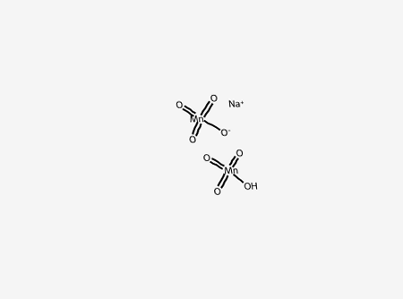 [Na+].[O]=[Mn](=[O])(=[O])[O-].[O]=[Mn](=[O])(=[O])[OH]